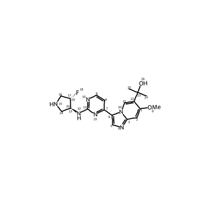 COc1cc2ncc(-c3ccnc(N[C@H]4CNC[C@@H]4F)n3)n2cc1C(C)(C)O